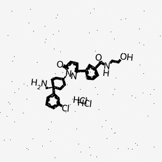 Cl.Cl.NC[C@]1(c2cccc(Cl)c2)CC[C@H](n2nc(-c3cccc(C(=O)NCCO)c3)ccc2=O)CC1